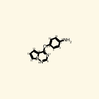 Nc1ccc(Oc2ncnn3cccc23)cc1